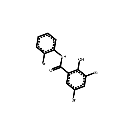 O=C(Nc1ccccc1Br)c1cc(Br)cc(Br)c1O